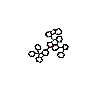 c1ccc(-c2ccccc2-c2ccccc2-c2ccccc2N(c2ccc(-c3ccc4c(c3)C(c3ccccc3)(c3ccccc3)c3ccccc3-4)cc2)c2cccc3oc4ccccc4c23)cc1